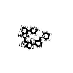 Fc1c(-c2cncc(CN3CCCCC3)c2)ncc2[nH]nc(-c3nc4c(-c5cccnc5)ccnc4[nH]3)c12